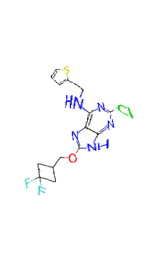 FC1(F)CC(COc2nc3c(NCc4cccs4)nc(Cl)nc3[nH]2)C1